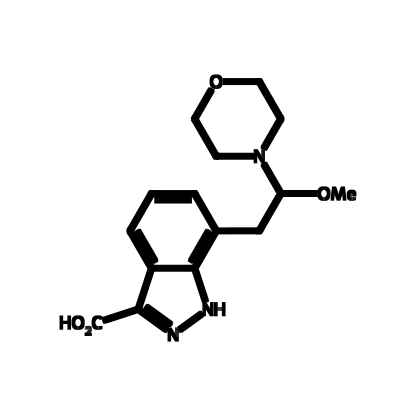 COC(Cc1cccc2c(C(=O)O)n[nH]c12)N1CCOCC1